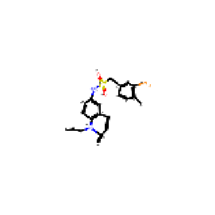 C=C1C=Cc2cc(NS(=O)(=O)Cc3ccc(C)c(P)c3)ccc2N1CCC